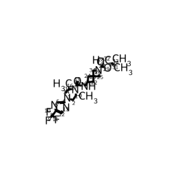 C[C@@H]1CN(c2cnc(C(F)(F)F)cn2)C[C@H](C)N1C(=O)NC1CC2(C1)CN(C(=O)OC(C)(C)C)C2